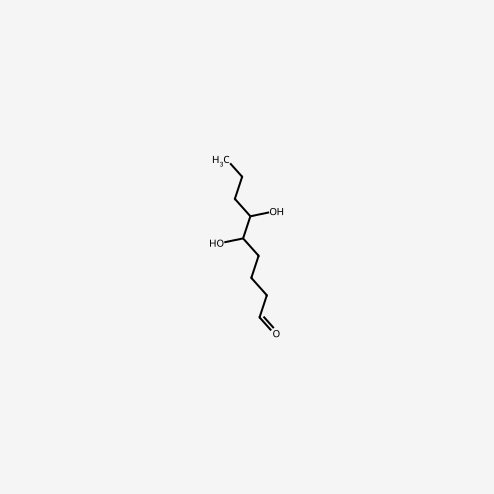 CCCC(O)C(O)CCCC=O